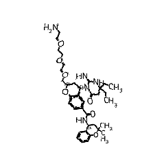 CCC1(CC)CC(=O)N([C@H]2C[C@H](COCCOCCOCCN)Oc3ccc(C(=O)N[C@H]4CC(C)(C)Oc5ccccc54)cc32)C(=N)N1